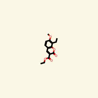 CCOC(=O)c1cc2ccc(OC)c(CC)c2oc1=O